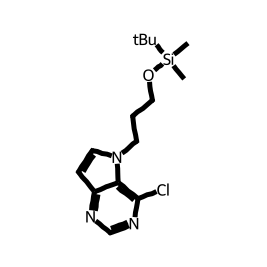 CC(C)(C)[Si](C)(C)OCCCn1ccc2ncnc(Cl)c21